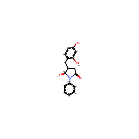 O=C1CC(Cc2ccc(O)cc2O)C(=O)N1c1ccccc1